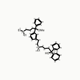 CCN(CC)CCCC(OC)(c1ccccc1)c1cccc(CCN(CC)CCCC(O)(c2ccccc2)c2ccccc2)c1